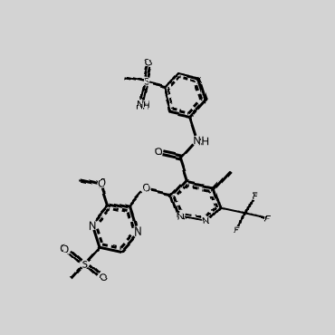 COc1nc(S(C)(=O)=O)cnc1Oc1nnc(C(F)(F)F)c(C)c1C(=O)Nc1cccc(S(C)(=N)=O)c1